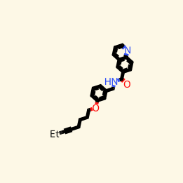 CCC#CCCCCOc1cccc(CNC(=O)c2ccc3ncccc3c2)c1